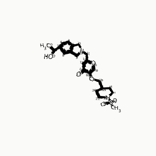 CC(O)c1ccc2c(c1)CN(Cc1cc(=O)c(OCC3CCN(S(C)(=O)=O)CC3)co1)C2